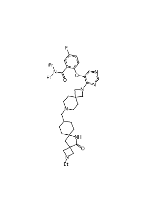 CCN1CC2(C1)CC1(CCC(CN3CCC4(CC3)CN(c3ncncc3Oc3ccc(F)cc3C(=O)N(CC)C(C)C)C4)CC1)NC2=O